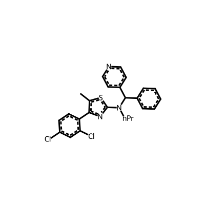 CCCN(c1nc(-c2ccc(Cl)cc2Cl)c(C)s1)C(c1ccccc1)c1ccncc1